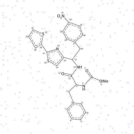 COC(=O)NC(Cc1ccccc1)C(=O)NC(Cc1ccc([N+](=O)[O-])cc1)c1csc(-c2cccs2)n1